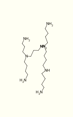 NCCCCN(CCCN)CCCN.NCCCCNCCCCNCCCCN